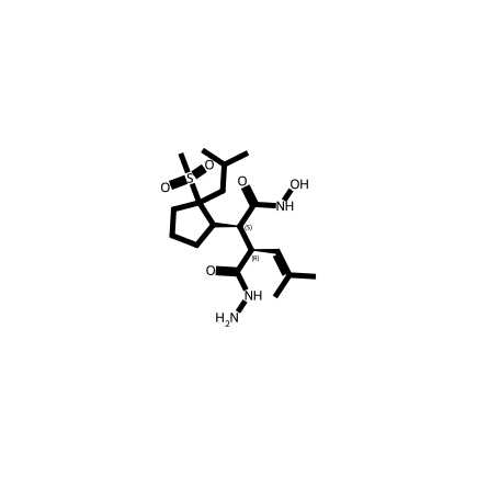 CC(C)=C[C@@H](C(=O)NN)[C@H](C(=O)NO)C1CCCC1(CC(C)C)S(C)(=O)=O